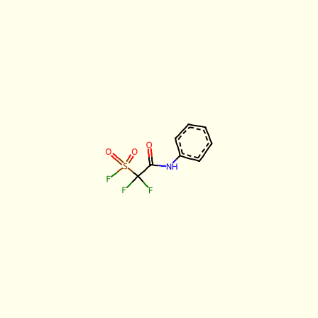 O=C(Nc1ccccc1)C(F)(F)S(=O)(=O)F